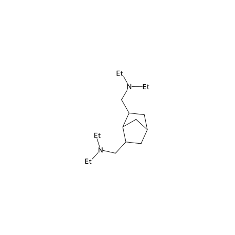 CCN(CC)CC1CC2CC(CN(CC)CC)C1C2